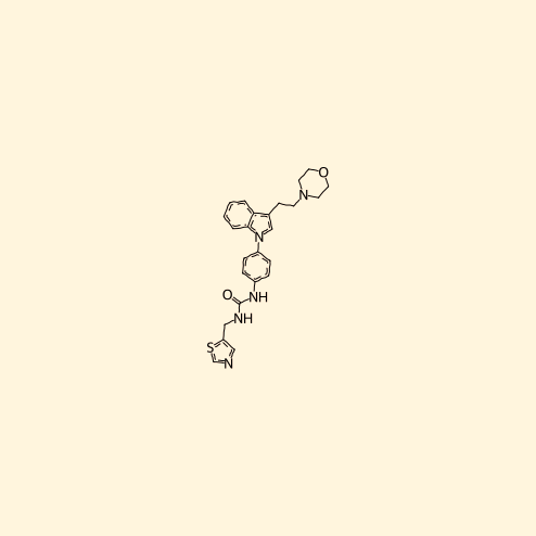 O=C(NCc1cncs1)Nc1ccc(-n2cc(CCN3CCOCC3)c3ccccc32)cc1